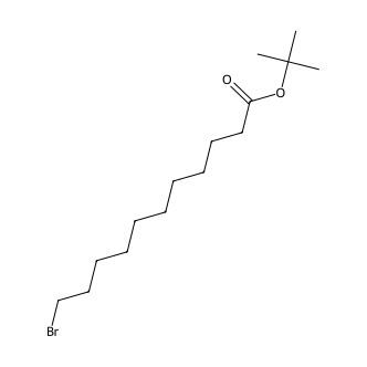 CC(C)(C)OC(=O)CCCCCCCCCCBr